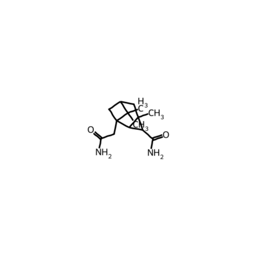 CC12CC3CC(CC(N)=O)(C1C2C(N)=O)C3(C)C